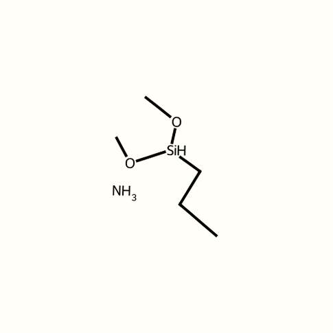 CCC[SiH](OC)OC.N